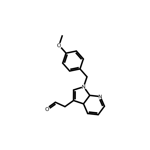 COc1ccc(CN2C=C(CC=O)C3C=CC=NC32)cc1